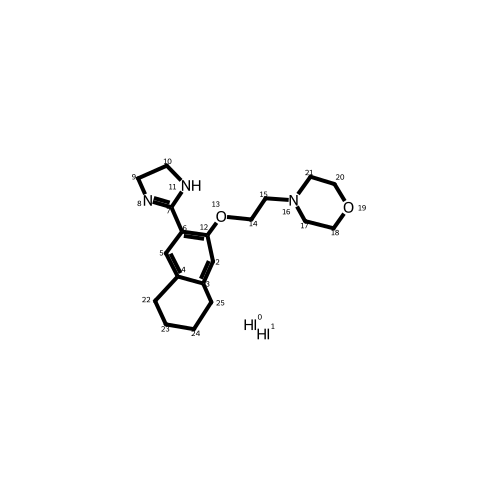 I.I.c1c2c(cc(C3=NCCN3)c1OCCN1CCOCC1)CCCC2